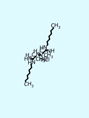 CCCCCCCCNC(=N)C(C)(C)N=NC(C)(C)C(=N)NCCCCCCCC.Cl.Cl